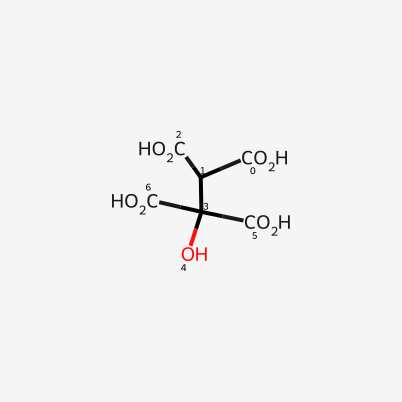 O=C(O)C(C(=O)O)C(O)(C(=O)O)C(=O)O